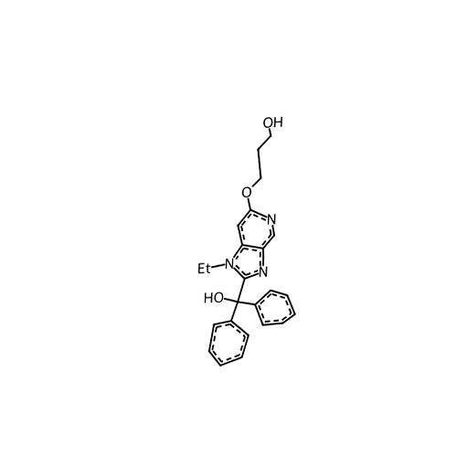 CCn1c(C(O)(c2ccccc2)c2ccccc2)nc2cnc(OCCCO)cc21